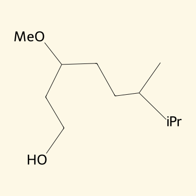 COC(CCO)CCC(C)C(C)C